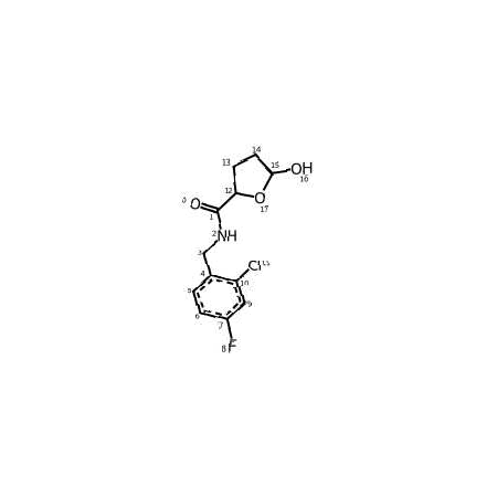 O=C(NCc1ccc(F)cc1Cl)C1CCC(O)O1